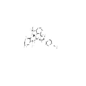 N#Cc1ccc(-c2nc3c4cccc(C(F)(F)F)c4nc(Nc4cnccnc4=O)n3n2)cc1